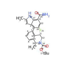 Cc1cc2c(-c3cccc4c3CCN(C(=O)OC(C)(C)C)C4C)c(F)cc(C(N)=O)c2[nH]1